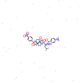 CC(C)C[C@H](NC(=O)c1ccc(N(C)C)cc1)C(=O)N1CC[C@@H]2[C@H]1C(=O)CN2C(=O)c1ccc([N+](=O)[O-])cc1